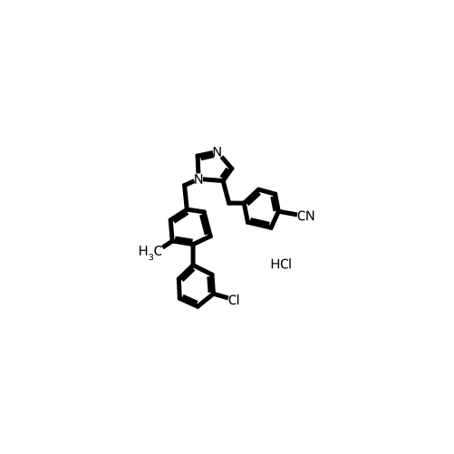 Cc1cc(Cn2cncc2Cc2ccc(C#N)cc2)ccc1-c1cccc(Cl)c1.Cl